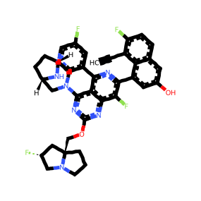 C#Cc1c(F)ccc2cc(O)cc(-c3nc(-c4cncc(F)c4)c4c(N5C[C@H]6CC[C@@H](C5)N6)nc(OC[C@@]56CCCN5C[C@H](F)C6)nc4c3F)c12